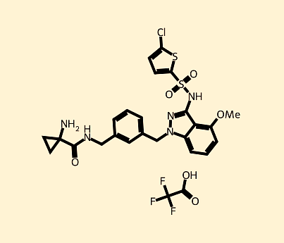 COc1cccc2c1c(NS(=O)(=O)c1ccc(Cl)s1)nn2Cc1cccc(CNC(=O)C2(N)CC2)c1.O=C(O)C(F)(F)F